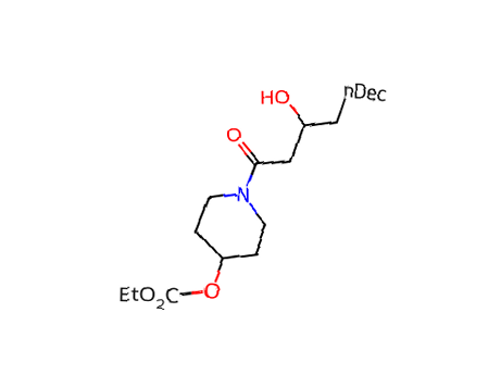 CCCCCCCCCCCC(O)CC(=O)N1CCC(OC(=O)OCC)CC1